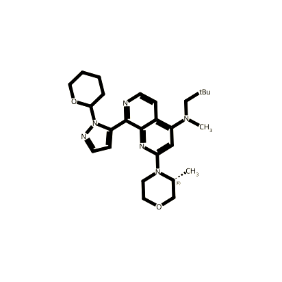 C[C@@H]1COCCN1c1cc(N(C)CC(C)(C)C)c2ccnc(-c3ccnn3C3CCCCO3)c2n1